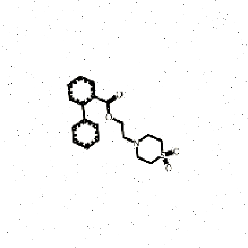 O=C(OCCN1CCS(=O)(=O)CC1)c1ccccc1-c1ccccc1